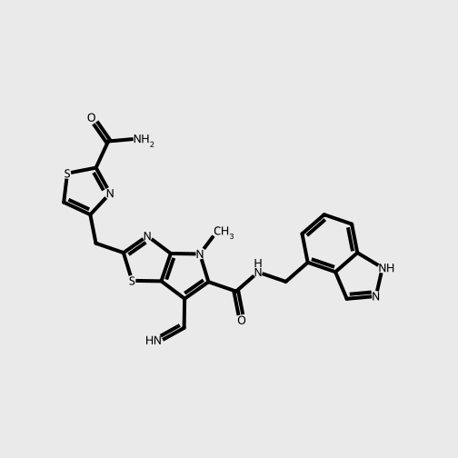 Cn1c(C(=O)NCc2cccc3[nH]ncc23)c(C=N)c2sc(Cc3csc(C(N)=O)n3)nc21